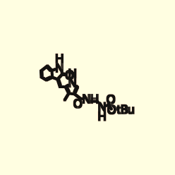 Cc1c(C(=O)NCCNC(=O)OC(C)(C)C)c[nH]c1/C=C1\C(=O)Nc2ccccc21